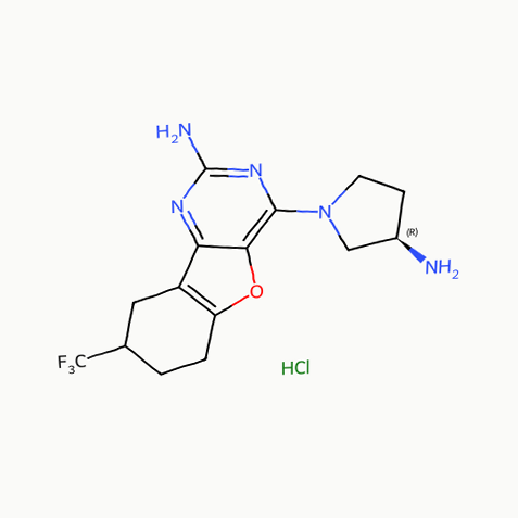 Cl.Nc1nc(N2CC[C@@H](N)C2)c2oc3c(c2n1)CC(C(F)(F)F)CC3